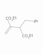 C=C(C(=O)OCC)C(CC(C)C)C(=O)OCC